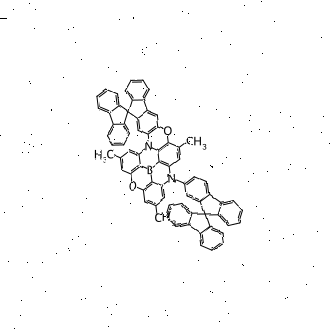 Cc1cc2c3c(c1)N(c1ccc4c(c1)C1(c5ccccc5-c5ccccc51)c1ccccc1-4)c1cc(C)c4c5c1B3c1c(cc(C)cc1N5c1cc3c(cc1O4)-c1ccccc1C31c3ccccc3-c3ccccc31)O2